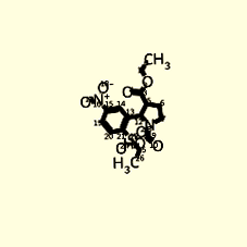 CCOC(=O)C1CCN(C(=O)O)C1c1cc([N+](=O)[O-])ccc1S(=O)(=O)CC